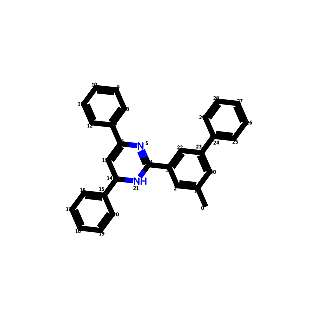 Cc1cc(C2=NC(c3ccccc3)=CC(c3ccccc3)N2)cc(-c2ccccc2)c1